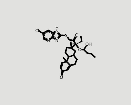 CCCC(O)O[C@@](CC)(C(=O)CSc1nc2ncc(Cl)cc2[nH]1)C1(C)CCC2C(CCC3=CC(=O)C=CC32C)C1